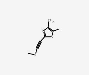 Cc1nc(C#CSI)sc1Cl